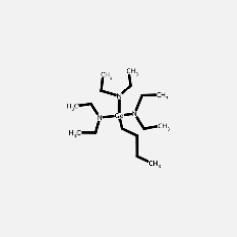 CCC[CH2][Ge]([N](CC)CC)([N](CC)CC)[N](CC)CC